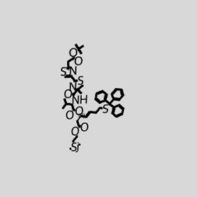 CC(C)C(NC(=O)C1(C)CSC(c2csc(CC(=O)OC(C)(C)C)n2)=N1)C(=O)O[C@@H](C=CCCSC(c1ccccc1)(c1ccccc1)c1ccccc1)CC(=O)OCC[Si](C)(C)C